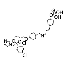 CN(C/C=C/c1ccc(OP(=O)(O)O)cc1)Cc1ccc(OC[C@@H]2CCO[C@@](Cn3ccnc3)(c3ccc(Cl)cc3Cl)O2)cc1